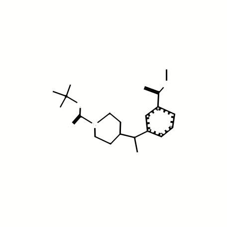 COC(=O)c1cccc(C(F)C2CCN(C(=O)OC(C)(C)C)CC2)c1